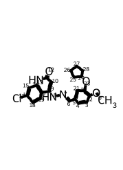 COc1ccc(C=NNc2cc(=O)[nH]c3cc(Cl)ccc23)cc1OC1CCCC1